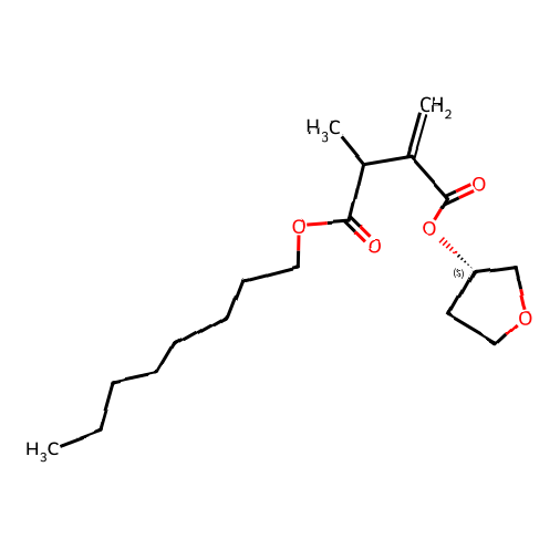 C=C(C(=O)O[C@H]1CCOC1)C(C)C(=O)OCCCCCCCC